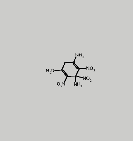 NC1=C([N+](=O)[O-])C(N)([N+](=O)[O-])C([N+](=O)[O-])=C(N)C1